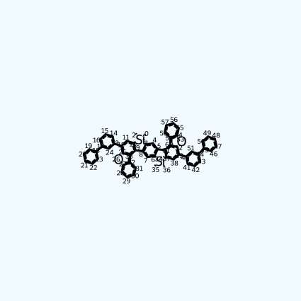 C[Si]1(C)c2cc3c(cc2-c2c1cc(-c1cccc(-c4ccccc4)c1)c1oc4ccccc4c21)[Si](C)(C)c1cc(-c2cccc(-c4ccccc4)c2)c2oc4ccccc4c2c1-3